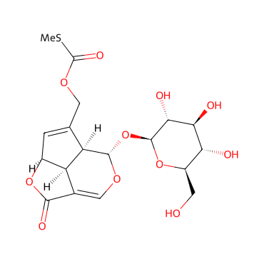 CSC(=O)OCC1=C[C@@H]2OC(=O)C3=CO[C@@H](O[C@@H]4O[C@H](CO)[C@@H](O)[C@H](O)[C@H]4O)[C@H]1[C@@H]32